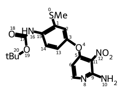 CSc1cc(Oc2ccnc(N)c2[N+](=O)[O-])ccc1NC(=O)OC(C)(C)C